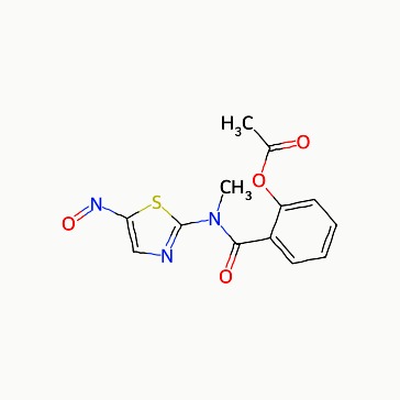 CC(=O)Oc1ccccc1C(=O)N(C)c1ncc(N=O)s1